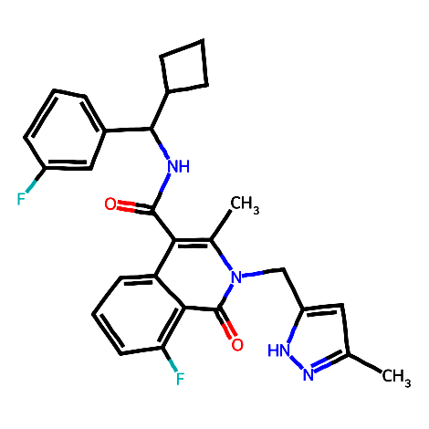 Cc1cc(Cn2c(C)c(C(=O)NC(c3cccc(F)c3)C3CCC3)c3cccc(F)c3c2=O)[nH]n1